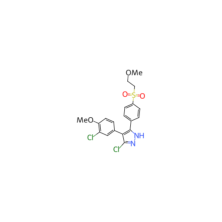 COCCS(=O)(=O)c1ccc(-c2[nH]nc(Cl)c2-c2ccc(OC)c(Cl)c2)cc1